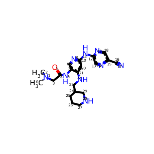 CN(C)CC(=O)Nc1cnc(Nc2cnc(C#N)cn2)cc1NCC1CCCNC1